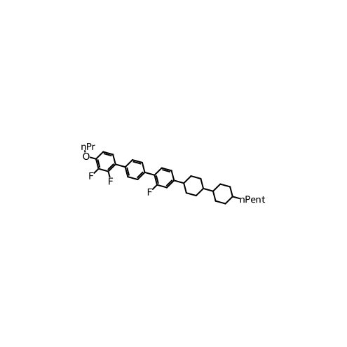 CCCCCC1CCC(C2CCC(c3ccc(-c4ccc(-c5ccc(OCCC)c(F)c5F)cc4)c(F)c3)CC2)CC1